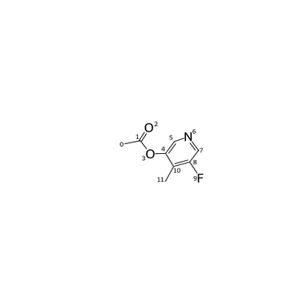 CC(=O)Oc1cncc(F)c1C